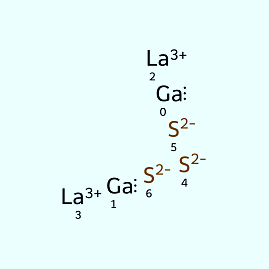 [Ga].[Ga].[La+3].[La+3].[S-2].[S-2].[S-2]